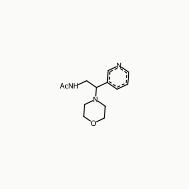 CC(=O)NCC(c1cccnc1)N1CCOCC1